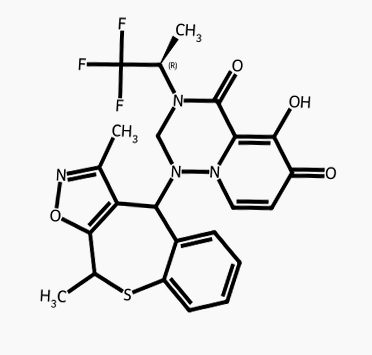 Cc1noc2c1C(N1CN([C@H](C)C(F)(F)F)C(=O)c3c(O)c(=O)ccn31)c1ccccc1SC2C